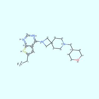 FC(F)(F)Cc1cc2c(N3CC4(CCN(CC5CCOCC5)CC4)C3)ncnc2s1